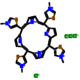 C[n+]1csc(-c2c3nc(c(-c4c[n+](C)cs4)c4ccc([nH]4)c(-c4c[n+](C)cs4)c4nc(c(-c5c[n+](C)cs5)c5ccc2[nH]5)C=C4)C=C3)c1.[Cl-].[Cl-].[Cl-].[Cl-]